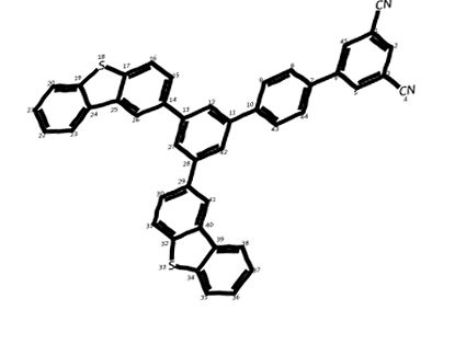 N#Cc1cc(C#N)cc(-c2ccc(-c3cc(-c4ccc5sc6ccccc6c5c4)cc(-c4ccc5sc6ccccc6c5c4)c3)cc2)c1